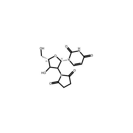 O=C1CCC(=O)N1C1C(O)[C@H](CO)O[C@@H]1n1ccc(=O)[nH]c1=O